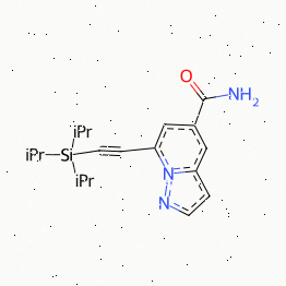 CC(C)[Si](C#Cc1cc(C(N)=O)cc2ccnn12)(C(C)C)C(C)C